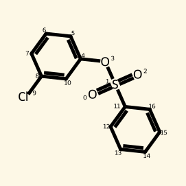 O=S(=O)(Oc1cccc(Cl)c1)c1ccccc1